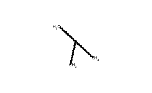 CCCCCCCCC=CCCCCCCCCN(CCCCCCCCC=CCCCCCCCC)CCCCCCCCC=CCCCCCCCC